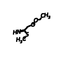 CCOOCC(=N)SC